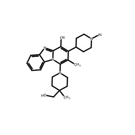 CC(=O)N1CCC(c2c(C)c(N3CCC(C)(CO)CC3)n3c(nc4ccccc43)c2C#N)CC1